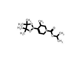 CC(C)OC(=O)N1CC=C(B2OC(C)(C)C(C)(C)O2)C(C)C1